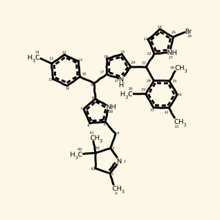 CC1=NC(Cc2ccc(C(c3ccc(C)cc3)c3ccc(C(c4ccc(Br)[nH]4)c4c(C)cc(C)cc4C)[nH]3)[nH]2)C(C)(C)C1